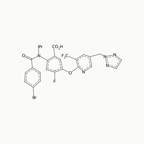 CC(C)N(C(=O)c1ccc(Br)cc1)c1cc(F)c(Oc2ncc(Cn3nccn3)cc2C(F)(F)F)cc1C(=O)O